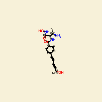 C[C@H](O)C#CC#Cc1ccc(C(=O)N[C@H](C(=O)NO)[C@H](C)N)cc1